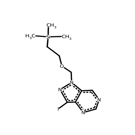 C[Si](C)(C)CCOCn1nc(I)c2ncncc21